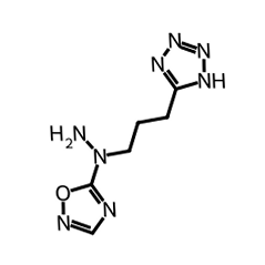 NN(CCCc1nnn[nH]1)c1ncno1